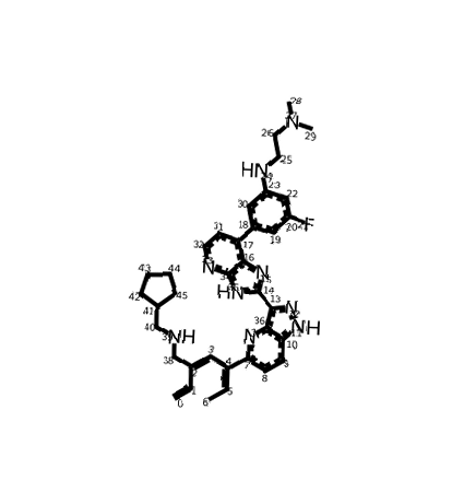 C=C/C(=C\C(=C/C)c1ccc2[nH]nc(-c3nc4c(-c5cc(F)cc(NCCN(C)C)c5)ccnc4[nH]3)c2n1)CNCC1CCCC1